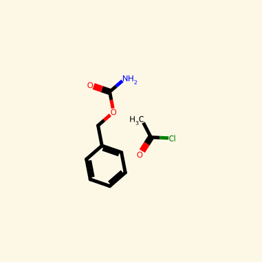 CC(=O)Cl.NC(=O)OCc1ccccc1